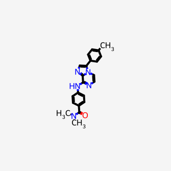 Cc1ccc(-c2cnc3c(Nc4ccc(C(=O)N(C)C)cc4)nccn23)cc1